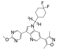 [2H]C([2H])(C1CCC(F)(F)CC1)n1cc(-c2cnc(OC)nc2)c2ncc(-c3c(C)noc3C)cc21